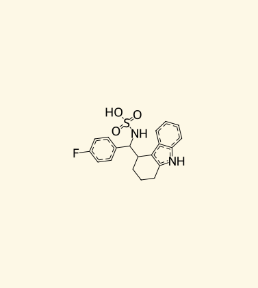 O=S(=O)(O)NC(c1ccc(F)cc1)C1CCCc2[nH]c3ccccc3c21